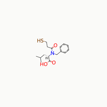 CC(C)C[C@@H](C(=O)O)N(Cc1ccccc1)C(=O)CCS